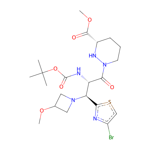 COC(=O)[C@@H]1CCCN(C(=O)[C@@H](NC(=O)OC(C)(C)C)[C@@H](c2nc(Br)cs2)N2CC(OC)C2)N1